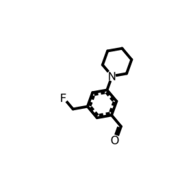 O=Cc1cc(CF)cc(N2CCCCC2)c1